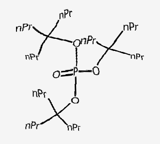 CCCC(CCC)(CCC)OP(=O)(OC(CCC)(CCC)CCC)OC(CCC)(CCC)CCC